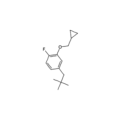 CC(C)(C)Cc1ccc(F)c(OCC2CC2)c1